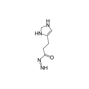 N=NC(=O)CCC1=CNCN1